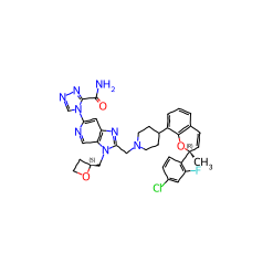 C[C@]1(c2ccc(Cl)cc2F)C=Cc2cccc(C3CCN(Cc4nc5cc(-n6cnnc6C(N)=O)ncc5n4C[C@@H]4CCO4)CC3)c2O1